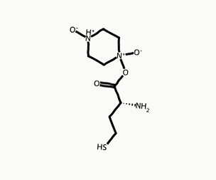 N[C@H](CCS)C(=O)O[N+]1([O-])CC[NH+]([O-])CC1